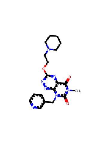 Cn1c(=O)c2nc(OCCN3CCCCC3)nnc2n(Cc2cccnc2)c1=O